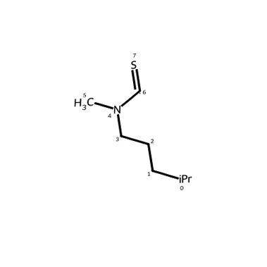 CC(C)CCCN(C)[C]=S